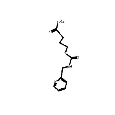 COC(=O)CCCSC(=S)NCc1ccccn1